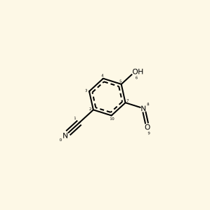 N#Cc1ccc(O)c(N=O)c1